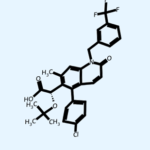 Cc1cc2c(ccc(=O)n2Cc2cccc(C(F)(F)F)c2)c(-c2ccc(Cl)cc2)c1[C@H](OC(C)(C)C)C(=O)O